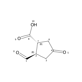 O=C[C@@H]1CC(=O)C[C@H]1C(=O)O